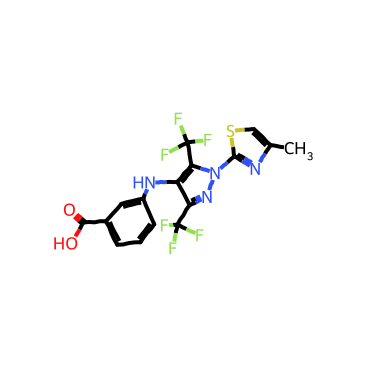 Cc1csc(-n2nc(C(F)(F)F)c(Nc3cccc(C(=O)O)c3)c2C(F)(F)F)n1